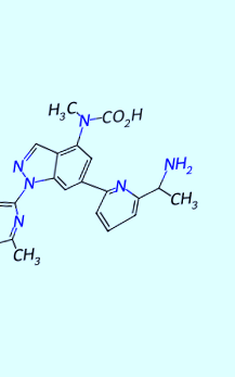 Cc1cccc(-n2ncc3c(N(C)C(=O)O)cc(-c4cccc(C(C)N)n4)cc32)n1